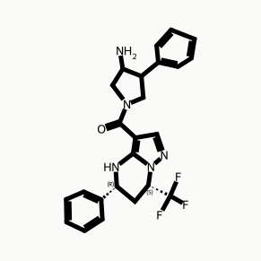 NC1CN(C(=O)c2cnn3c2N[C@@H](c2ccccc2)C[C@H]3C(F)(F)F)CC1c1ccccc1